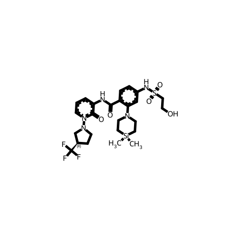 C[Si]1(C)CCN(c2cc(NS(=O)(=O)CCO)ccc2C(=O)Nc2cccn(N3CC[C@@H](C(F)(F)F)C3)c2=O)CC1